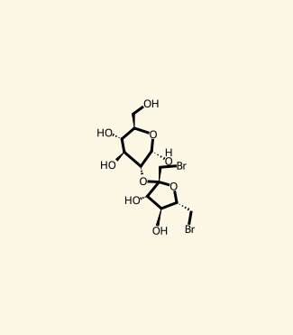 OC[C@H]1O[C@H](O)[C@H](O[C@]2(CBr)O[C@H](CBr)[C@@H](O)[C@@H]2O)[C@@H](O)[C@@H]1O